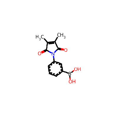 CC1=C(C)C(=O)N(c2cccc(B(O)O)c2)C1=O